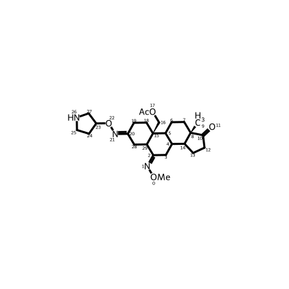 CON=C1CC2C(CC[C@]3(C)C(=O)CCC23)[C@@]2(COC(C)=O)CCC(=NOC3CCNC3)CC12